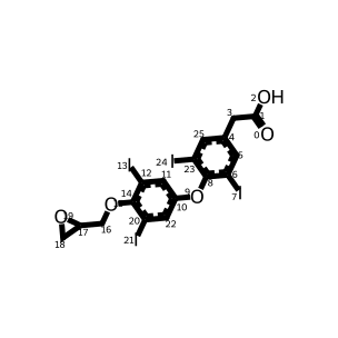 O=C(O)Cc1cc(I)c(Oc2cc(I)c(OCC3CO3)c(I)c2)c(I)c1